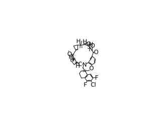 CO[C@H]1C2=CC(C2)[C@H](C)[C@@H](C)S(=O)(=O)NC(=O)c2ccc3c(c2)N(C[C@@H]2CC[C@H]21)C[C@@]1(CCCc2c1cc(F)c(Cl)c2F)CO3